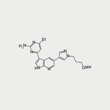 CCc1cc(-c2c[nH]c3ncc(-c4cnn(CCCOC)c4)cc23)nc(N)n1